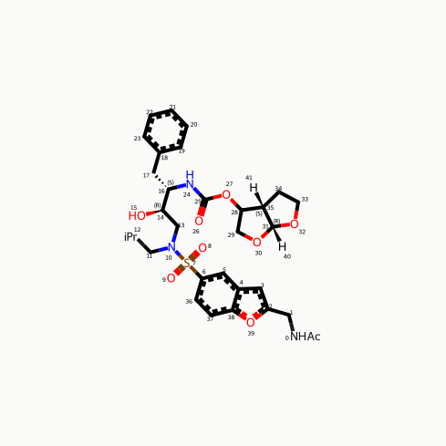 CC(=O)NCc1cc2cc(S(=O)(=O)N(CC(C)C)C[C@@H](O)[C@H](Cc3ccccc3)NC(=O)OC3CO[C@H]4OCC[C@@H]34)ccc2o1